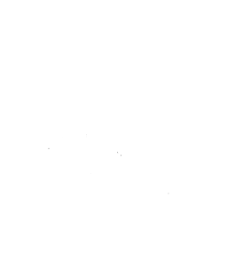 O=C(c1ccc(Cl)cc1)c1c(Cl)cc2n1CCC2C(=O)[O-].[K+]